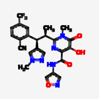 C[C@@H](c1nc(C(=O)Nc2cnoc2)c(O)c(=O)n1C)[C@@H](c1cnn(C)c1)c1cc(C(F)(F)F)ccc1C#N